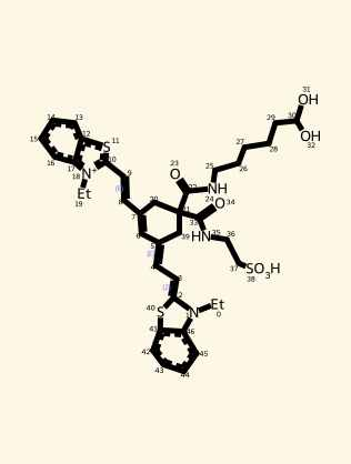 CCN1/C(=C/C=C2C=C(/C=C/c3sc4ccccc4[n+]3CC)CC(C(=O)NCCCCCC(O)O)(C(=O)NCCS(=O)(=O)O)C/2)Sc2ccccc21